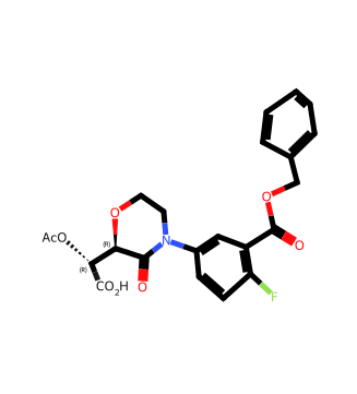 CC(=O)O[C@@H](C(=O)O)[C@H]1OCCN(c2ccc(F)c(C(=O)OCc3ccccc3)c2)C1=O